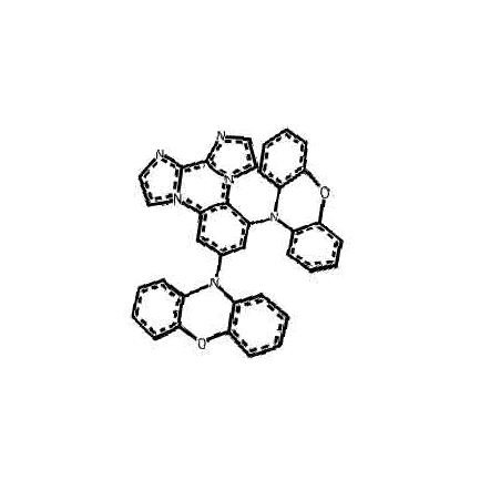 c1ccc2c(c1)Oc1ccccc1N2c1cc(N2c3ccccc3Oc3ccccc32)c2c(c1)n1ccnc1c1nccn12